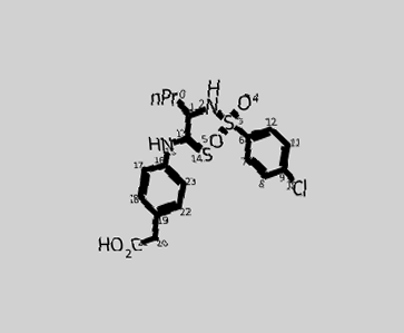 CCCC(NS(=O)(=O)c1ccc(Cl)cc1)C(=S)Nc1ccc(CC(=O)O)cc1